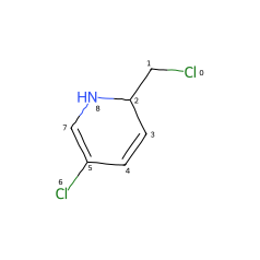 ClCC1C=CC(Cl)=CN1